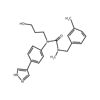 Cc1cccc(CN(C)C(=O)N(CCCO)c2ccc(-c3cn[nH]c3)cc2)c1